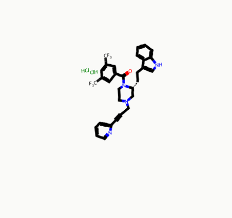 Cl.Cl.O=C(c1cc(C(F)(F)F)cc(C(F)(F)F)c1)N1CCN(CC#Cc2ccccn2)C[C@H]1CCc1c[nH]c2ccccc12